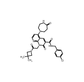 CC1(C)CN(C(=O)Cn2c(=O)c(C(=O)NCc3ccc(Cl)cc3)cc3c(N4CCNC(=O)CC4)ccnc32)C1